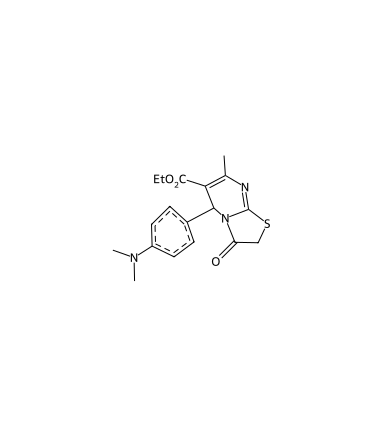 CCOC(=O)C1=C(C)N=C2SCC(=O)N2C1c1ccc(N(C)C)cc1